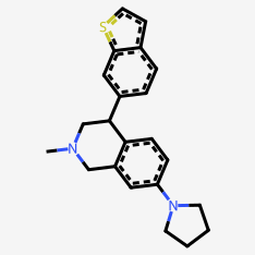 CN1Cc2cc(N3CCCC3)ccc2C(c2ccc3ccsc3c2)C1